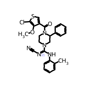 COc1c(C(=O)N2CCN(/C(=N\C#N)Nc3ccccc3C)CC2c2ccccc2)csc1Cl